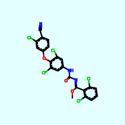 CO/C(=N\C(=O)Nc1cc(Cl)c(Oc2ccc(C#N)c(Cl)c2)c(Cl)c1)c1c(Cl)cccc1Cl